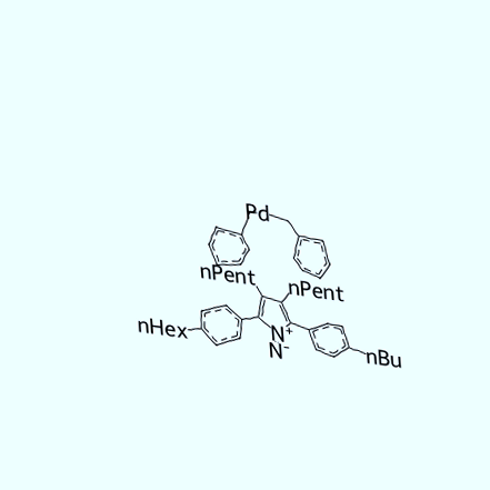 CCCCCCc1ccc(C2=C(CCCCC)C(CCCCC)=C(c3ccc(CCCC)cc3)[N+]2=[N-])cc1.c1ccc([CH2][Pd][CH2]c2ccccc2)cc1